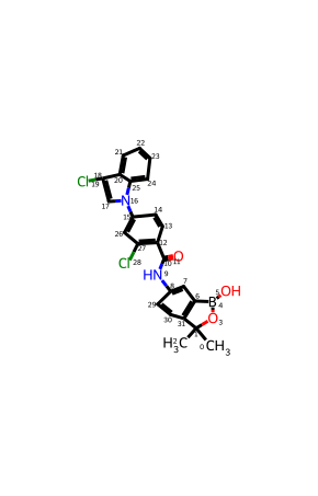 CC1(C)OB(O)c2cc(NC(=O)c3ccc(-n4cc(Cl)c5ccccc54)cc3Cl)ccc21